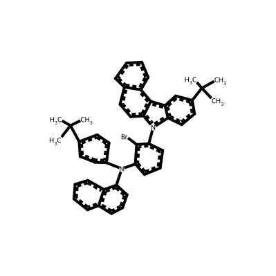 CC(C)(C)c1ccc(N(c2cccc(-n3c4ccc(C(C)(C)C)cc4c4c5ccccc5ccc43)c2Br)c2cccc3ccccc23)cc1